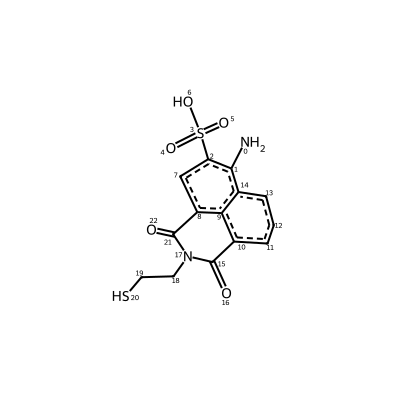 Nc1c(S(=O)(=O)O)cc2c3c(cccc13)C(=O)N(CCS)C2=O